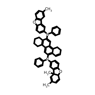 CC1=CC2(C)c3cc(N(c4ccccc4)c4cc5c6c(c(N(c7ccccc7)c7ccc8oc9ccc(C)cc9c8c7)cc5c5c4C=CCC5)CCCC6)ccc3OC2C=C1